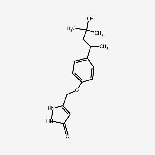 CC(CC(C)(C)C)c1ccc(OCc2cc(=O)[nH][nH]2)cc1